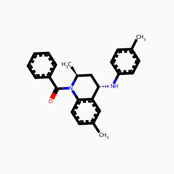 Cc1ccc(N[C@H]2C[C@H](C)N(C(=O)c3ccccc3)c3ccc(C)cc32)cc1